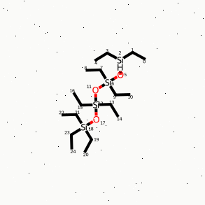 CC[SiH](CC)O[Si](CC)(CC)O[Si](CC)(CC)O[Si](CC)(CC)CC